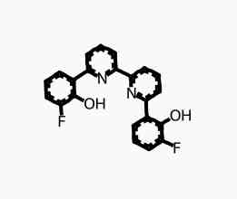 Oc1c(F)cccc1-c1cccc(-c2cccc(-c3cccc(F)c3O)n2)n1